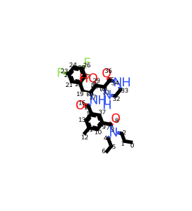 CCCN(CCC)C(=O)c1cc(C)cc(C(=O)N[C@@H](Cc2cc(F)cc(F)c2)[C@H](O)[C@@H]2NCCNC2=O)c1